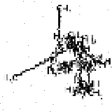 CCCCCCCCCCCCCCCCC(=O)OCC(CSC[C@H](NC(=O)OC(C)(C)C)C(=O)N[C@@H](COC(C)(C)C)C(=O)N[C@@H](CCCCNC(=O)OC(C)(C)C)C(=O)N[C@@H](CCCCNC(=O)OC(C)(C)C)C(=O)N[C@@H](CCCCNC(=O)OC(C)(C)C)C(=O)N[C@@H](CCCCNC(=O)OC(C)(C)C)C(=O)O)OC(=O)CCCCCCCCCCCCCCC